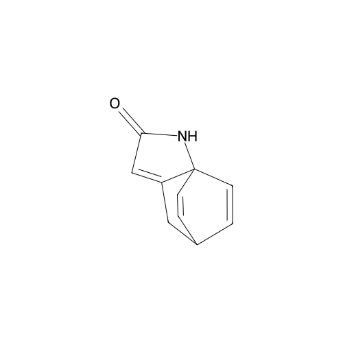 O=C1C=C2CC3C=CC2(C=C3)N1